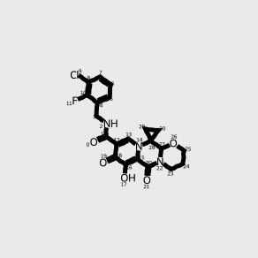 O=C(NCc1cccc(Cl)c1F)c1cn2c(c(O)c1=O)C(=O)N1CCCOC1C21CC1